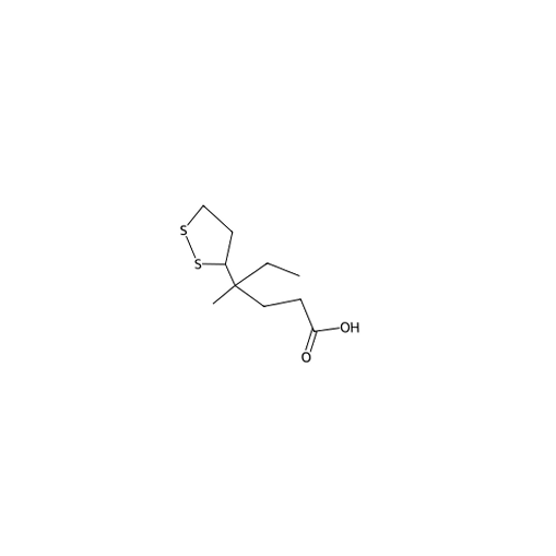 CCC(C)(CCC(=O)O)C1CCSS1